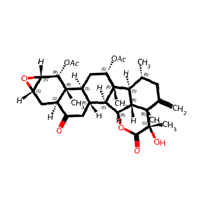 C=C1C[C@@H](C)[C@H]2[C@H]3[C@H](OC(=O)[C@@](C)(O)[C@@]13C)[C@H]1[C@@H]3CC(=O)[C@H]4C[C@@H]5O[C@@H]5[C@H](OC(C)=O)[C@]4(C)[C@H]3C[C@H](OC(C)=O)[C@@]12C